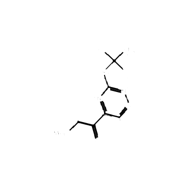 CCC(C)(C)Nc1nncc(C(=O)COC)n1